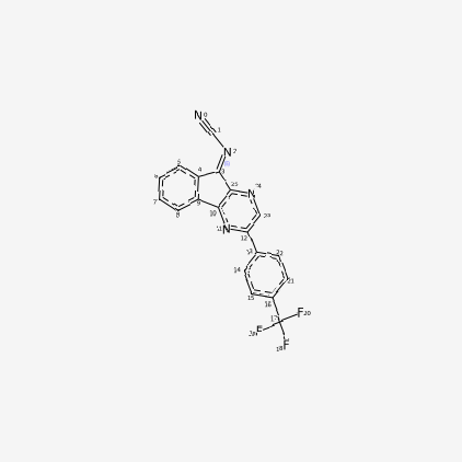 N#C/N=C1\c2ccccc2-c2nc(-c3ccc(C(F)(F)F)cc3)cnc21